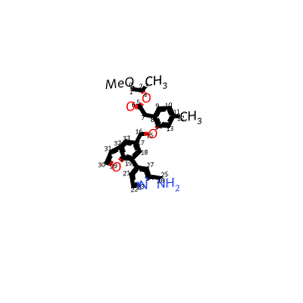 COCC(C)OC(=O)Cc1ccc(C)cc1OCc1cc(-c2ccnc(CN)c2)c2occc2c1